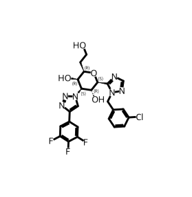 OCC[C@H]1O[C@@H](c2ncnn2Cc2cccc(Cl)c2)[C@H](O)[C@@H](n2cc(-c3cc(F)c(F)c(F)c3)nn2)[C@H]1O